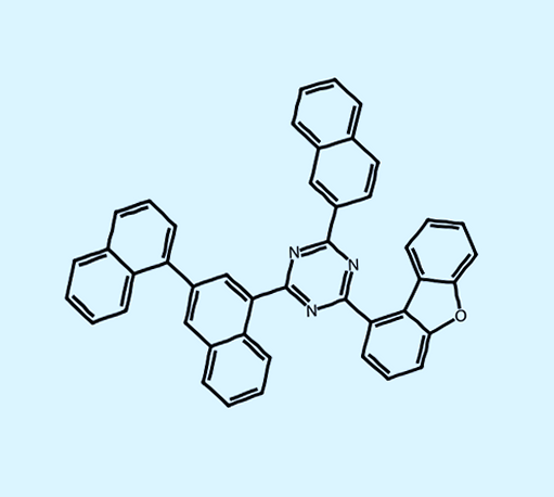 c1ccc2cc(-c3nc(-c4cc(-c5cccc6ccccc56)cc5ccccc45)nc(-c4cccc5oc6ccccc6c45)n3)ccc2c1